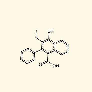 CCc1c(-c2ccccc2)c(C(=O)O)c2ccccc2c1O